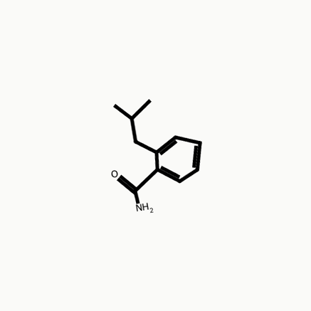 CC(C)Cc1ccccc1C(N)=O